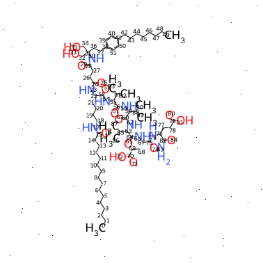 CCCCCCCCCCCCCCCC(=O)NCCCC[C@H](NC(=O)CCC(=O)NC(CO)(CO)CCc1ccc(CCCCCCCC)cc1)C(=O)N[C@H](C(=O)NC(C(=O)N[C@H](C(=O)N[C@@H](CCC(=O)O)C(=O)N[C@@H](CCC(=O)O)C(N)=O)C(C)C)C(C)C)C(C)C